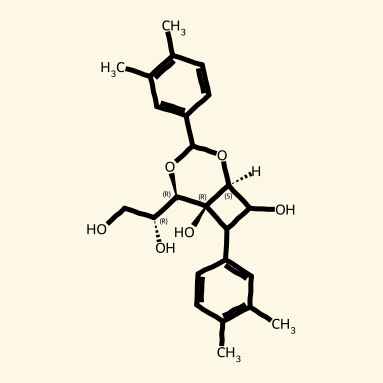 Cc1ccc(C2O[C@H]([C@H](O)CO)[C@@]3(O)C(c4ccc(C)c(C)c4)C(O)[C@@H]3O2)cc1C